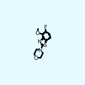 COc1c(F)ccc2sc(N3CCOCC3)nc12